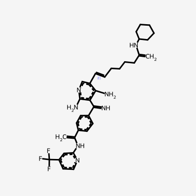 C=C(CCCC/C=C/c1cnc(N)c(C(=N)c2ccc(C(=C)Nc3cc(C(F)(F)F)ccn3)cc2)c1N)NC1CCCCC1